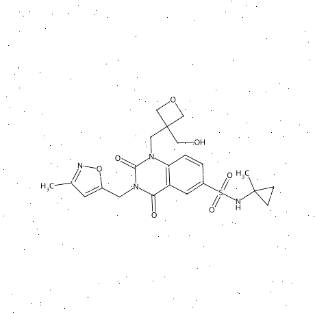 Cc1cc(Cn2c(=O)c3cc(S(=O)(=O)NC4(C)CC4)ccc3n(CC3(CO)COC3)c2=O)on1